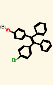 CCCCOc1ccc(C(=C(c2ccccc2)c2ccc(Br)cc2)c2ccccc2)cc1